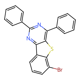 Brc1cccc2c1sc1c(-c3ccccc3)nc(-c3ccccc3)nc12